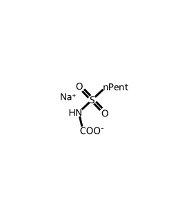 CCCCCS(=O)(=O)NC(=O)[O-].[Na+]